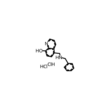 Cl.Cl.Oc1ccc(CNCc2ccccc2)c2cccnc12